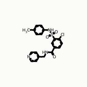 Cc1ccc(NS(=O)(=O)c2cc(C(=O)NCc3ccncc3)ccc2Cl)cc1